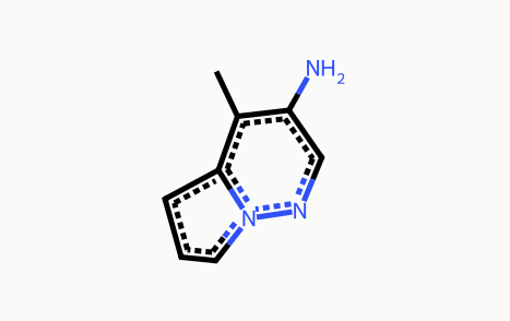 Cc1c(N)cnn2cccc12